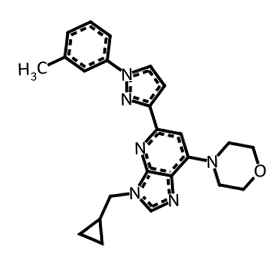 Cc1cccc(-n2ccc(-c3cc(N4CCOCC4)c4ncn(CC5CC5)c4n3)n2)c1